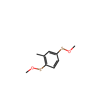 COSc1ccc(SOC)c(C)c1